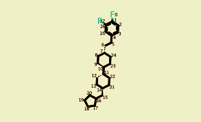 Fc1ccc(CC[C@H]2CC[C@H]([C@H]3CC[C@H](CC4CCCC4)CC3)CC2)cc1F